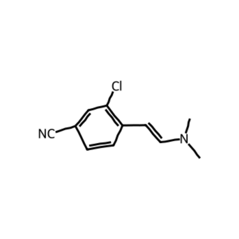 CN(C)/C=C/c1ccc(C#N)cc1Cl